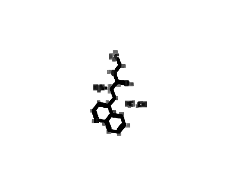 Cl.Cl.N[C@@H](Cc1ccnc2ccccc12)C(=O)OCC(F)(F)F